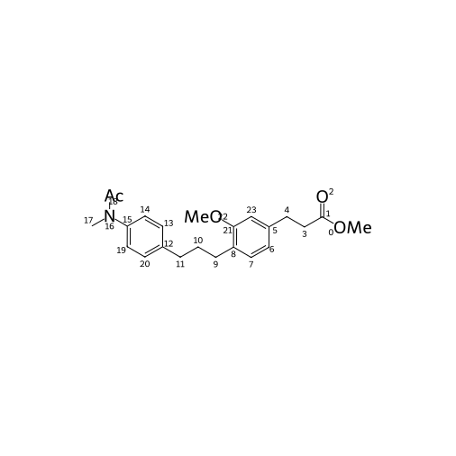 COC(=O)CCc1ccc(CCCc2ccc(N(C)C(C)=O)cc2)c(OC)c1